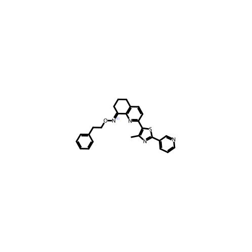 Cc1nc(-c2cccnc2)sc1-c1ccc2c(n1)/C(=N/OCCc1ccccc1)CCC2